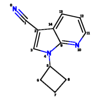 N#Cc1cn(C2CCC2)c2ncccc12